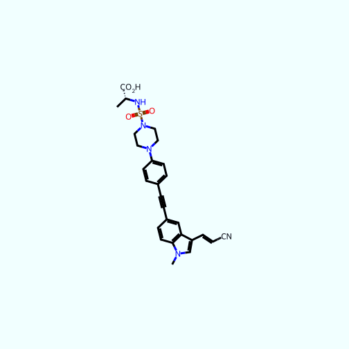 C[C@@H](NS(=O)(=O)N1CCN(c2ccc(C#Cc3ccc4c(c3)c(/C=C/C#N)cn4C)cc2)CC1)C(=O)O